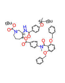 CN(C(=O)c1c(OCc2ccccc2)cccc1OCc1ccccc1)c1ccc(C(=O)O[C@@H]2CCCN(C(=O)OC(C)(C)C)C[C@H]2NC(=O)c2ccc(O[Si](C)(C)C(C)(C)C)cc2)cc1